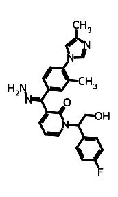 Cc1cn(-c2ccc(/C(=N\N)c3cccn(C(CO)c4ccc(F)cc4)c3=O)cc2C)cn1